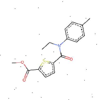 CCN(C(=O)c1ccc(C(=O)OC)s1)c1ccc(C)cc1